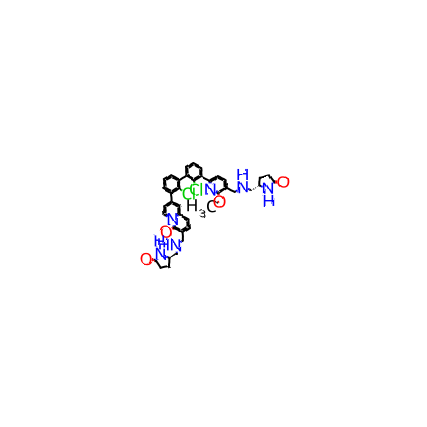 COc1nc(-c2cccc(-c3cccc(-c4ccn5c(=O)c(CNC[C@H]6CCC(=O)N6)ccc5c4)c3Cl)c2Cl)ccc1CNC[C@@H]1CCC(=O)N1